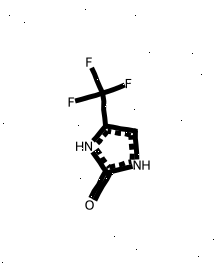 O=c1[nH]cc(C(F)(F)F)[nH]1